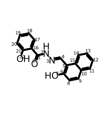 O=C(NN=Cc1c(O)ccc2ccccc12)c1ccccc1O